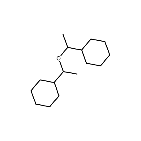 CC(OC(C)C1CCCCC1)C1CCCCC1